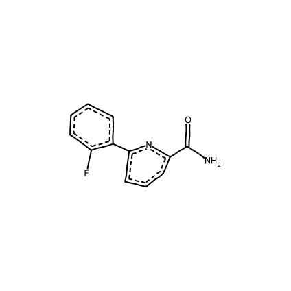 NC(=O)c1cccc(-c2ccccc2F)n1